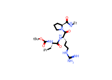 CCNC(=O)[C@@H]1CCCN1C(=O)[C@H](CCCNC(=N)N)NC(=O)[C@H](CC(C)C)NC(=O)OC(C)(C)C